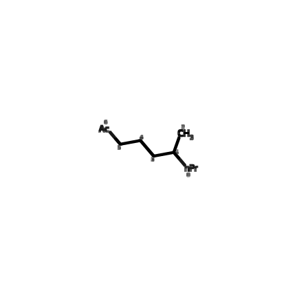 CCCC(C)CCCC(C)=O